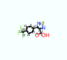 O=C(O)c1nsnc1-c1ccc(C(F)(F)F)cc1